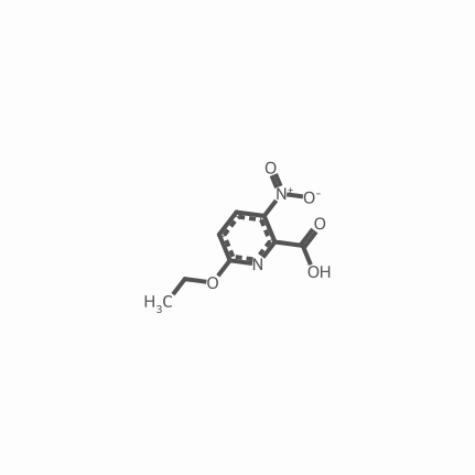 CCOc1ccc([N+](=O)[O-])c(C(=O)O)n1